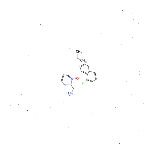 CCC.Fc1cccc2ccccc12.NCc1nccc[n+]1[O-]